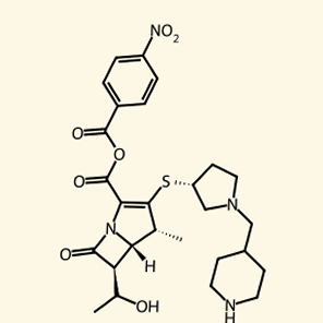 CC(O)[C@H]1C(=O)N2C(C(=O)OC(=O)c3ccc([N+](=O)[O-])cc3)=C(S[C@@H]3CCN(CC4CCNCC4)C3)[C@H](C)[C@H]12